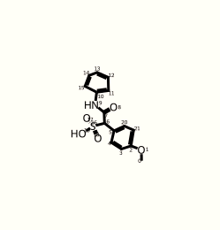 COc1ccc(C(C(=O)Nc2ccccc2)S(=O)(=O)O)cc1